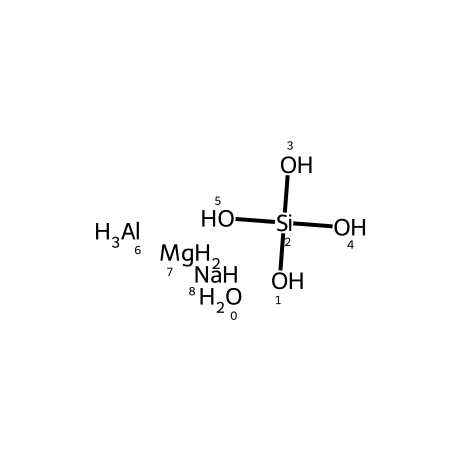 O.O[Si](O)(O)O.[AlH3].[MgH2].[NaH]